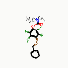 CN(C)C(=O)Oc1c(F)c(F)c(SCc2ccccc2)c(F)c1F